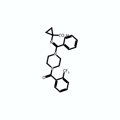 O=C(c1ccccc1C(F)(F)F)N1CCN(C(=NC2(C(=O)O)CC2)c2ccccc2)CC1